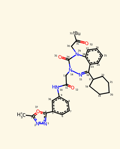 Cc1nnc(-c2cccc(NC(=O)CN3N=C(C4CCCCC4)c4ccccc4N(CC(=O)C(C)(C)C)C3=O)c2)o1